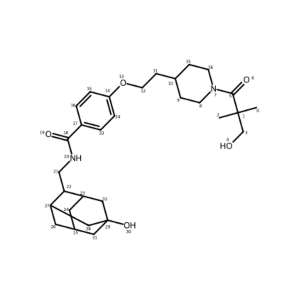 CC(C)(CO)C(=O)N1CCC(CCOc2ccc(C(=O)NCC3C4CC5CC3CC(O)(C5)C4)cc2)CC1